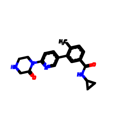 Cc1ccc(C(=O)NC2CC2)cc1-c1ccc(N2CCNCC2=O)nc1